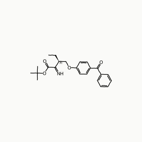 CC[C@@H](COc1ccc(C(=O)c2ccccc2)cc1)C(=N)C(=O)OC(C)(C)C